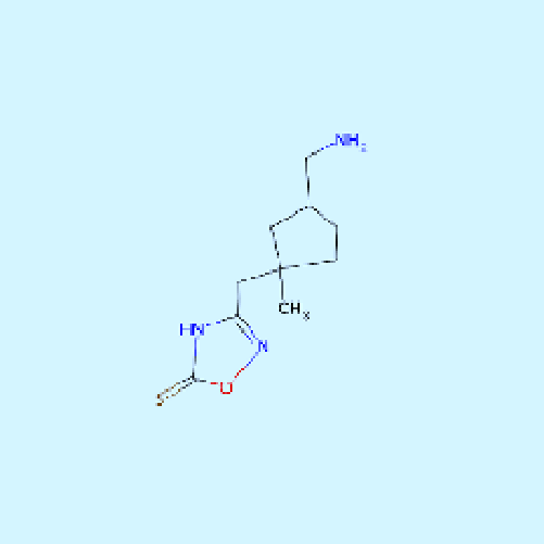 CC1(Cc2noc(=S)[nH]2)CCC(CN)C1